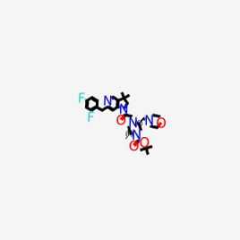 C[C@@H]1CN(CC(=O)N2CC(C)(C)c3cnc(Cc4ccc(F)cc4F)cc32)[C@@H](CN2CCOCC2)CN1C(=O)OC(C)(C)C